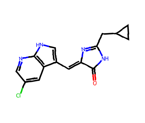 O=C1NC(CC2CC2)=NC1=Cc1c[nH]c2ncc(Cl)cc12